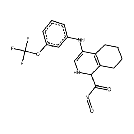 O=NC(=O)C1NC=C(Nc2cccc(OC(F)(F)F)c2)C2=C1CCCC2